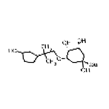 CC(C)(CO[C@@H]1C[C@](O)(C(C)(C)C)C[C@@H](O)[C@H]1O)C1CCC(O)C1